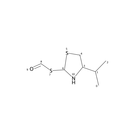 CC(C)C1CSC(SC=O)N1